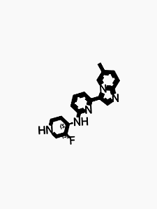 Cc1ccc2ncc(-c3cccc(N[C@H]4CCNC[C@@H]4F)n3)n2c1